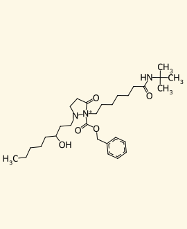 CCCCCC(O)CCN1CCC(=O)[N+]1(CCCCCCC(=O)NC(C)(C)C)C(=O)OCc1ccccc1